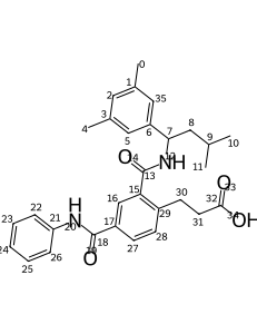 Cc1cc(C)cc(C(CC(C)C)NC(=O)c2cc(C(=O)Nc3ccccc3)ccc2CCC(=O)O)c1